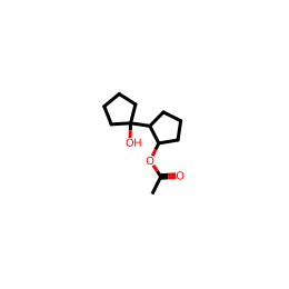 CC(=O)OC1CCCC1C1(O)CCCC1